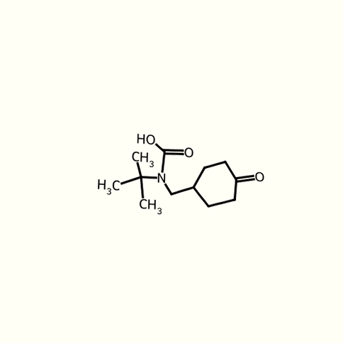 CC(C)(C)N(CC1CCC(=O)CC1)C(=O)O